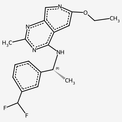 CCOc1cc2c(N[C@H](C)c3cccc(C(F)F)c3)nc(C)nc2cn1